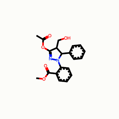 COC(=O)c1ccccc1N1N=C(OC(C)=O)C(CO)C1c1ccccc1